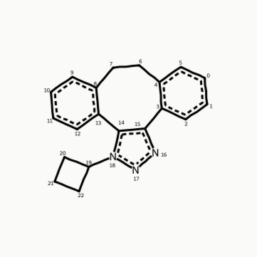 c1ccc2c(c1)CCc1ccccc1-c1c-2nnn1C1CCC1